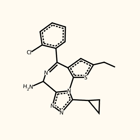 CCc1cc2c(s1)-n1c(C3CC3)nnc1C(N)N=C2c1ccccc1Cl